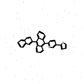 c1csc(-c2ccc(-c3c4ccccc4c(-c4ccc5ccccc5c4)c4ccccc34)nc2)c1